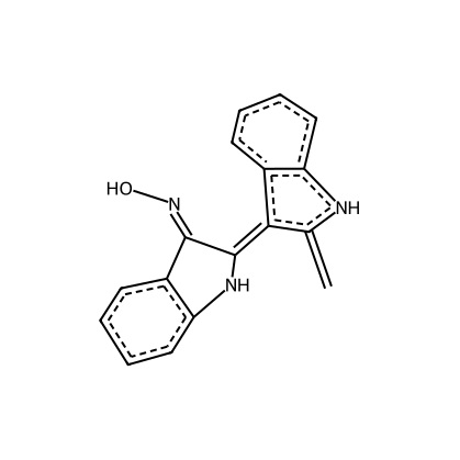 C=c1[nH]c2ccccc2/c1=C1/Nc2ccccc2/C1=N\O